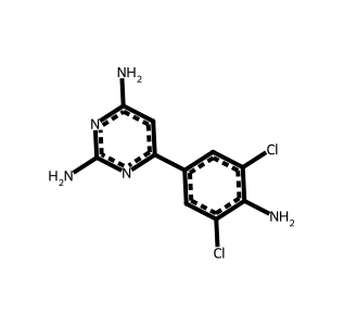 Nc1cc(-c2cc(Cl)c(N)c(Cl)c2)nc(N)n1